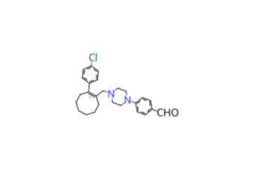 O=Cc1ccc(N2CCN(C/C3=C(\c4ccc(Cl)cc4)CCCCCC3)CC2)cc1